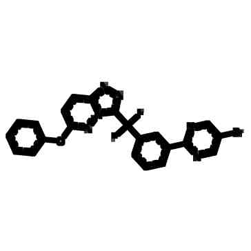 FC(F)(c1cccc(-c2ncc(Br)cn2)c1)c1nnc2ccc(Oc3ccccc3)nn12